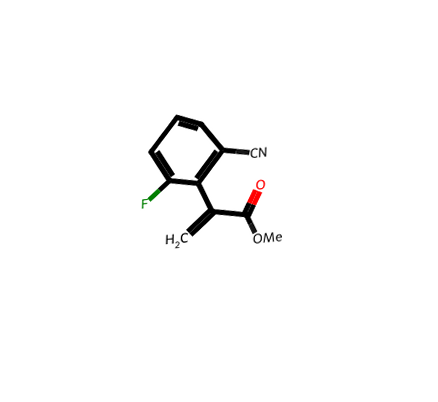 C=C(C(=O)OC)c1c(F)cccc1C#N